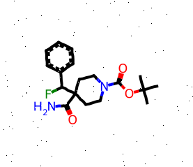 CC(C)(C)OC(=O)N1CCC(C(N)=O)(C(F)c2ccccc2)CC1